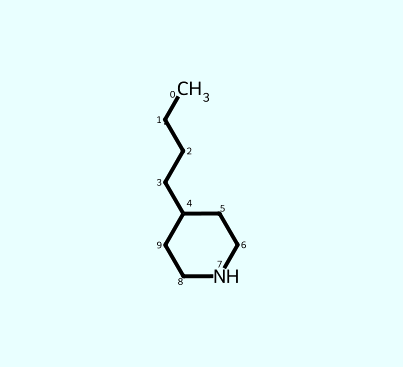 C[CH]CCC1CCNCC1